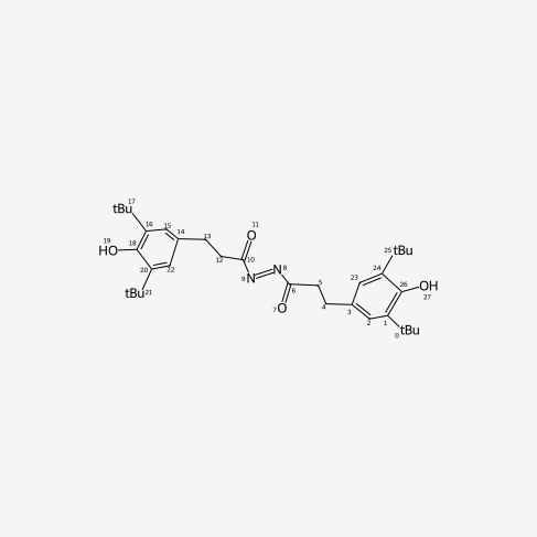 CC(C)(C)c1cc(CCC(=O)/N=N/C(=O)CCc2cc(C(C)(C)C)c(O)c(C(C)(C)C)c2)cc(C(C)(C)C)c1O